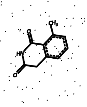 Cc1cccc2c1C(=O)NC(=O)C2